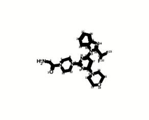 NCC(=O)N1CCN(c2nc(N3CCOCC3)cc(-n3c(C(F)F)nc4ccccc43)n2)CC1